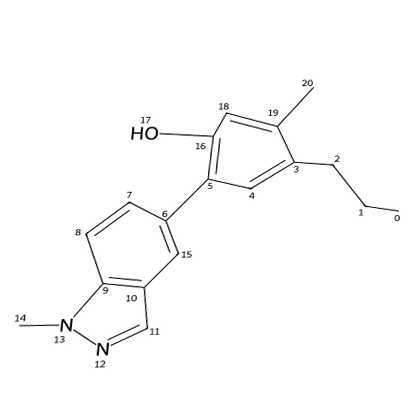 CCCc1cc(-c2ccc3c(cnn3C)c2)c(O)cc1C